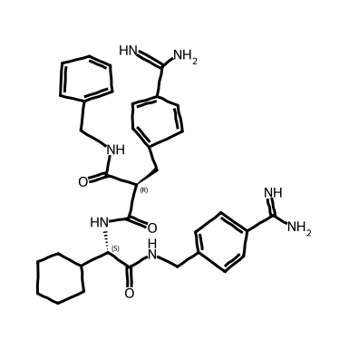 N=C(N)c1ccc(CNC(=O)[C@@H](NC(=O)[C@H](Cc2ccc(C(=N)N)cc2)C(=O)NCc2ccccc2)C2CCCCC2)cc1